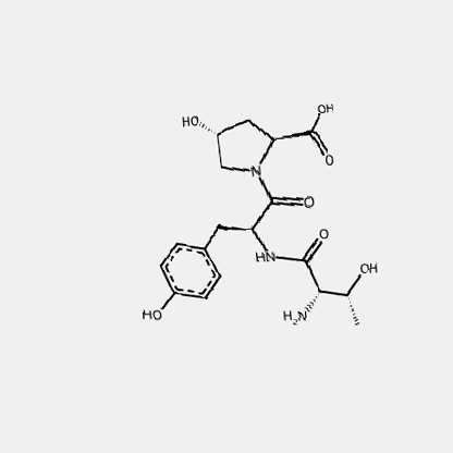 C[C@@H](O)[C@H](N)C(=O)N[C@@H](Cc1ccc(O)cc1)C(=O)N1C[C@H](O)C[C@H]1C(=O)O